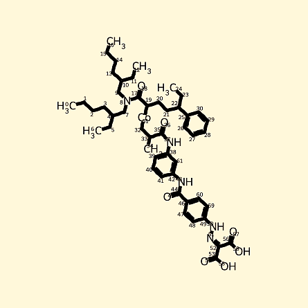 CCCCC(CC)CN(CC(CC)CCCC)C(=O)[CH](CCC(CC)c1ccccc1)[Co][CH2]C(C)C(=O)Nc1cccc(NC(=O)c2ccc(NN=C(C(=O)O)C(=O)O)cc2)c1